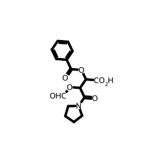 O=COC(C(=O)N1CCCC1)C(OC(=O)c1ccccc1)C(=O)O